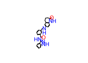 O=C1CCCc2cc(NCc3cccc(C(=O)Nc4n[nH]c5ccccc45)c3)ccc2N1